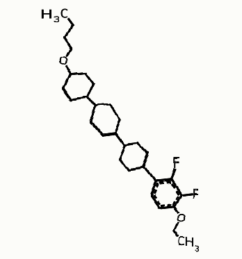 CCCCOC1CCC(C2CCC(C3CCC(c4ccc(OCC)c(F)c4F)CC3)CC2)CC1